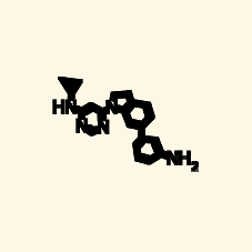 Nc1cccc(-c2ccc3c(c2)N(c2cc(NC4CC4)ncn2)CC3)c1